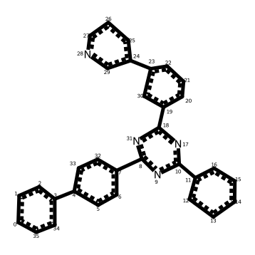 c1ccc(-c2ccc(-c3nc(-c4ccccc4)nc(-c4cccc(-c5cccnc5)c4)n3)cc2)cc1